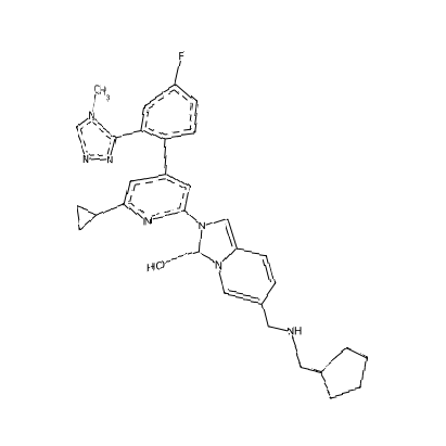 Cn1cnnc1-c1cc(F)ccc1-c1cc(C2CC2)nc(N2C=C3C=CC(CNCC4CCCC4)=CN3C2O)c1